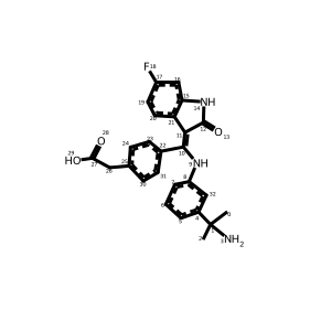 CC(C)(N)c1cccc(N/C(=C2\C(=O)Nc3cc(F)ccc32)c2ccc(CC(=O)O)cc2)c1